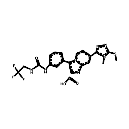 CSc1nnc(-c2ccn3c(-c4cccc(NC(=O)NCC(F)(F)F)c4)cnc3c2)n1C.O=CO